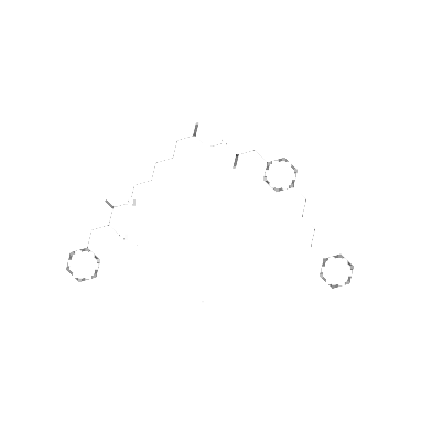 Cl.NC(Cc1ccccc1)C(=O)NCCCCCC(=O)ONC(=O)Cc1ccc(CCCCc2ccccc2)cc1